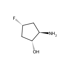 N[C@@H]1C[C@@H](F)C[C@H]1O